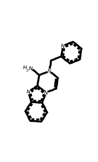 NC1c2nc3ccccc3n2C=CN1Cc1ccccn1